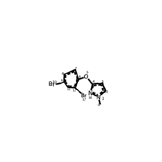 Cn1[c]cc(Oc2ccc(Br)cc2Br)n1